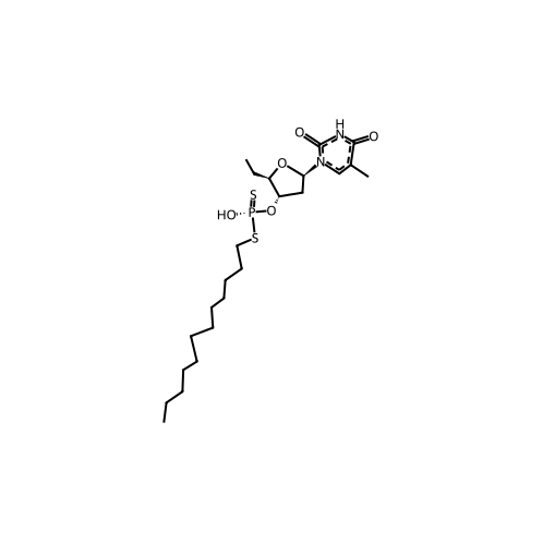 CCCCCCCCCCCCS[P@@](O)(=S)O[C@H]1C[C@H](n2cc(C)c(=O)[nH]c2=O)O[C@@H]1CC